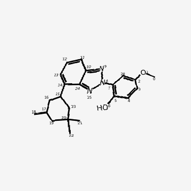 COc1ccc(O)c(-n2nc3cccc(C4CC(C)CC(C)(C)C4)c3n2)c1